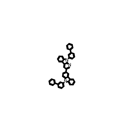 c1ccc(-c2cccc(-n3c4ccccc4c4cc(-c5cnc6c(c5)c5ccccc5n6-c5cccc(-c6ccccc6)c5)ccc43)c2)cc1